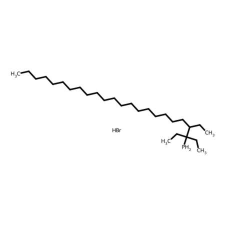 Br.CCCCCCCCCCCCCCCCCCCCC(CC)C(P)(CC)CC